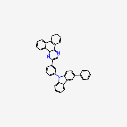 C1=Cc2c(c3ccccc3c3nc(-c4cccc(-n5c6ccccc6c6cc(-c7ccccc7)ccc65)c4)cnc23)CC1